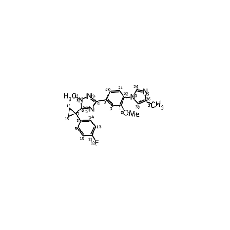 COc1cc(-c2nc(C3(c4ccc(F)cc4)CC3)n(C)n2)ccc1-n1cnc(C)c1